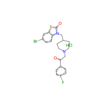 Cl.O=C(CN1CCC(Cn2c(=O)sc3cc(Br)ccc32)CC1)c1ccc(F)cc1